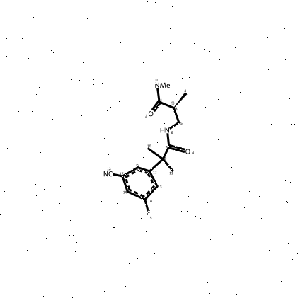 CNC(=O)[C@@H](C)CNC(=O)C(C)(C)c1cc(F)cc(C#N)c1